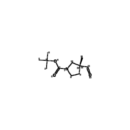 CC(C)(C)OC(=O)N1CC[C@@](C)(C=O)C1